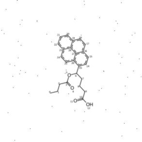 CCCC(=O)OC(CCCC(=O)O)c1ccc2ccc3cccc4ccc1c2c34